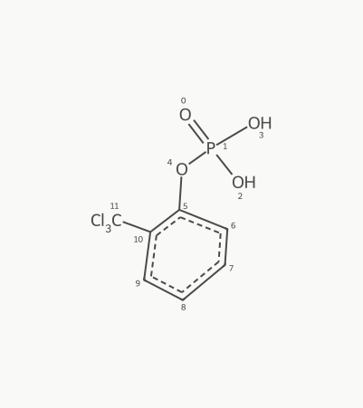 O=P(O)(O)Oc1ccccc1C(Cl)(Cl)Cl